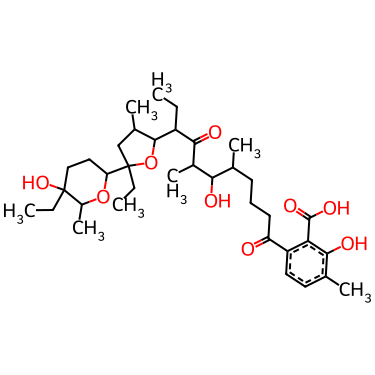 CCC(C(=O)C(C)C(O)C(C)CCCC(=O)c1ccc(C)c(O)c1C(=O)O)C1OC(CC)(C2CCC(O)(CC)C(C)O2)CC1C